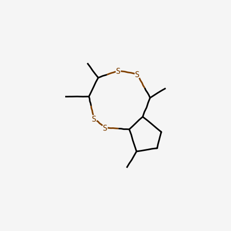 CC1CCC2C(C)SSC(C)C(C)SSC12